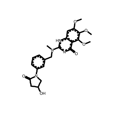 COc1cc2[nH]c(N(C)Cc3cccc(N4CC(O)CC4=O)c3)nc(=O)c2c(OC)c1OC